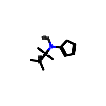 C[SiH](C)[Zr]([CH3])([CH3])[N](C1=CC=CC1)C(C)(C)C